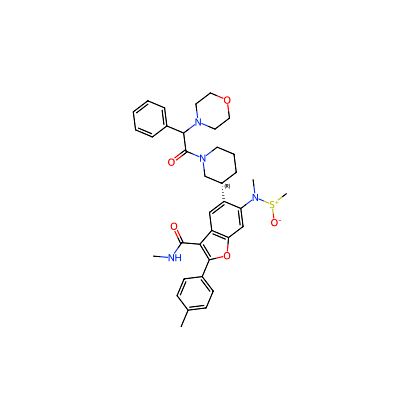 CNC(=O)c1c(-c2ccc(C)cc2)oc2cc(N(C)[S+](C)[O-])c([C@H]3CCCN(C(=O)C(c4ccccc4)N4CCOCC4)C3)cc12